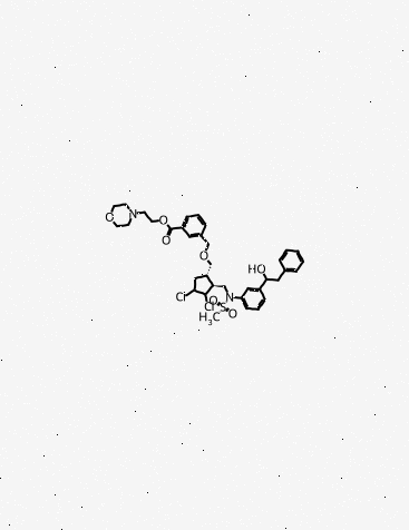 CS(=O)(=O)N(C[C@H]1C(Cl)C(Cl)C[C@@H]1COCc1cccc(C(=O)OCCN2CCOCC2)c1)c1cccc(C(O)Cc2ccccc2)c1